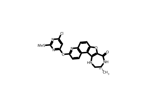 CSc1nc(Cl)cc(Oc2ccc3c(ccc4oc5c(c43)NC[C@@H](C)NC5=O)n2)n1